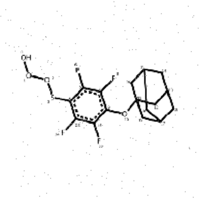 OOOSc1c(F)c(F)c(OC23CC4CC(CC(C4)C2)C3)c(F)c1F